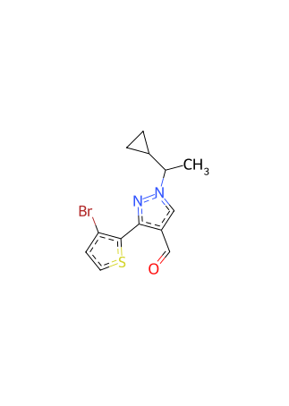 CC(C1CC1)n1cc(C=O)c(-c2sccc2Br)n1